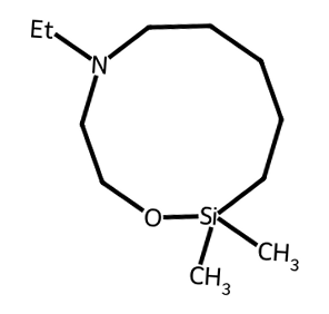 CCN1CCCCC[Si](C)(C)OCC1